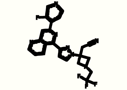 N#CCC1(n2ccc(-c3nc(-c4ccncc4F)cc4ncccc34)n2)CN(CC(F)(F)F)C1